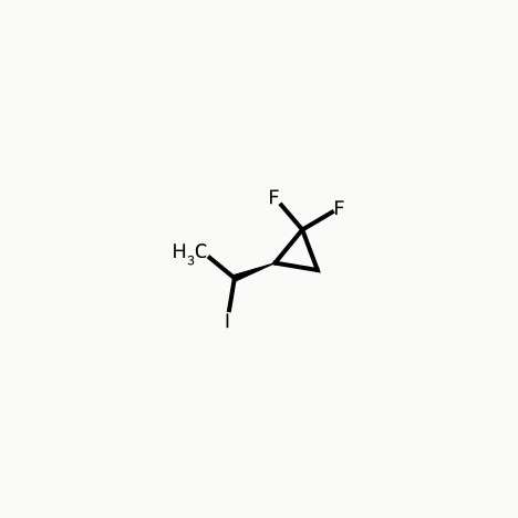 CC(I)[C@@H]1CC1(F)F